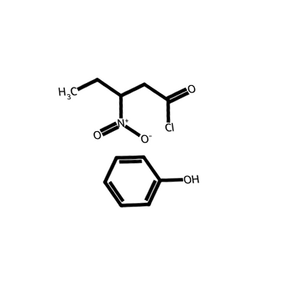 CCC(CC(=O)Cl)[N+](=O)[O-].Oc1ccccc1